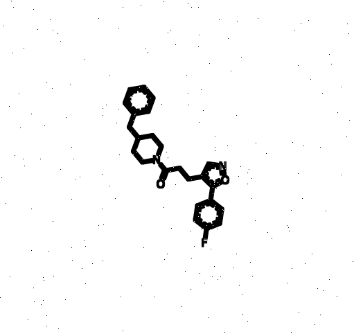 O=C(CCc1cnoc1-c1ccc(F)cc1)N1CCC(Cc2ccccc2)CC1